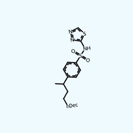 CCCCCCCCCCCCC(C)c1ccc(S(=O)(=O)Nc2nncs2)cc1